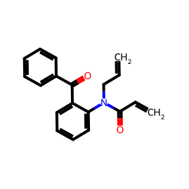 C=CCN(C(=O)C=C)c1ccccc1C(=O)c1ccccc1